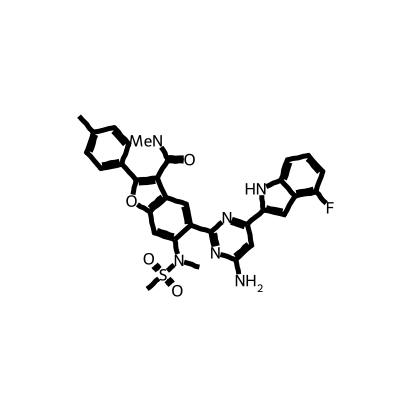 CNC(=O)c1c(-c2ccc(C)cc2)oc2cc(N(C)S(C)(=O)=O)c(-c3nc(N)cc(-c4cc5c(F)cccc5[nH]4)n3)cc12